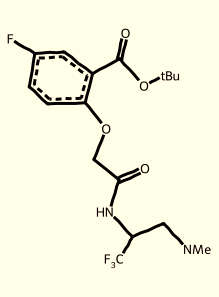 CNCC(NC(=O)COc1ccc(F)cc1C(=O)OC(C)(C)C)C(F)(F)F